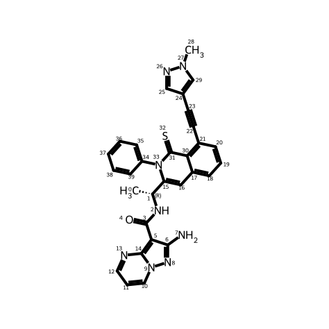 C[C@@H](NC(=O)c1c(N)nn2cccnc12)c1cc2cccc(C#Cc3cnn(C)c3)c2c(=S)n1-c1ccccc1